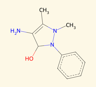 CC1=C(N)C(O)N(c2ccccc2)N1C